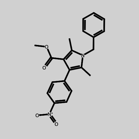 COC(=O)c1c(-c2ccc([N+](=O)[O-])cc2)c(C)n(Cc2ccccc2)c1C